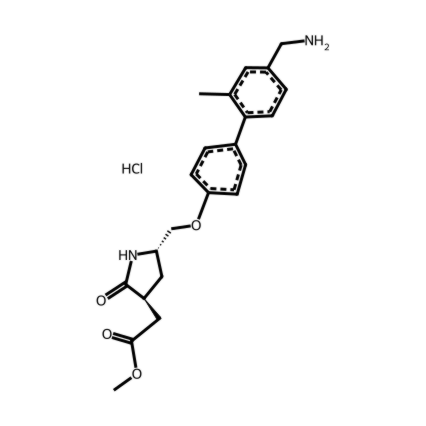 COC(=O)C[C@@H]1C[C@@H](COc2ccc(-c3ccc(CN)cc3C)cc2)NC1=O.Cl